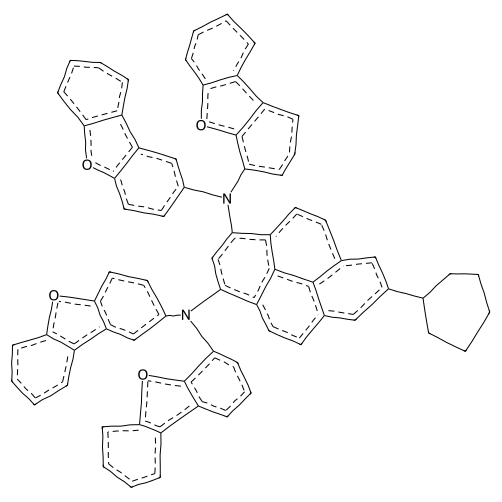 c1ccc2c(c1)oc1ccc(N(c3cc(N(c4ccc5oc6ccccc6c5c4)c4cccc5c4oc4ccccc45)c4ccc5cc(C6CCCCC6)cc6ccc3c4c65)c3cccc4c3oc3ccccc34)cc12